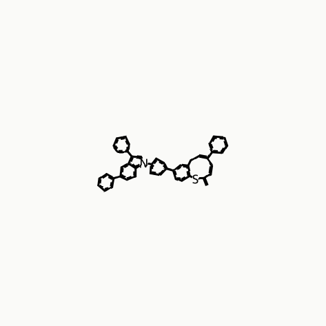 C=C1/C=C\C(c2ccccc2)=C/Cc2cc(-c3ccc(-n4cc(-c5ccccc5)c5cc(-c6ccccc6)ccc54)cc3)ccc2S1